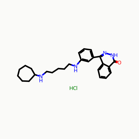 Cl.O=c1[nH]nc(-c2cccc(NCCCCCNC3CCCCCC3)c2)c2ccccc12